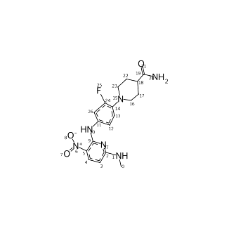 CNc1ccc([N+](=O)[O-])c(Nc2ccc(N3CCC(C(N)=O)CC3)c(F)c2)n1